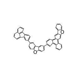 c1cc2c3c(cccc3c1)-c1cc(-c3ccc4oc5ccc(-c6ccc7c(c6)c6ccccc6c6cc8oc9ccccc9c8cc76)cc5c4c3)ccc1-2